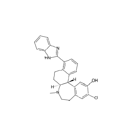 CN1CCc2cc(Cl)c(O)cc2[C@H]2c3cccc(-c4nc5ccccc5[nH]4)c3CC[C@@H]21